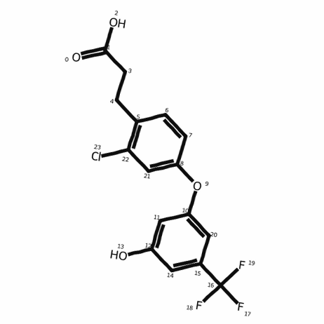 O=C(O)CCc1ccc(Oc2cc(O)cc(C(F)(F)F)c2)cc1Cl